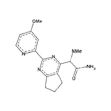 CNC(C(N)=O)c1nc(-c2cc(OC)ccn2)nc2c1CCC2